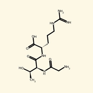 C[C@@H](O)[C@H](NC(=O)CN)C(=O)N[C@@H](CCCNC(=N)N)C(=O)O